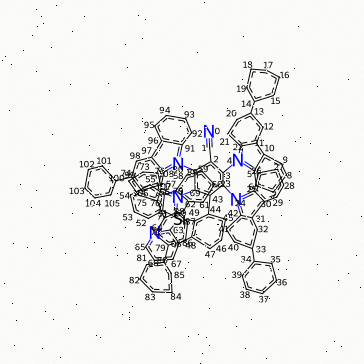 N#Cc1c(-n2c3ccccc3c3cc(-c4ccccc4)ccc32)c(-n2c3ccccc3c3cc(-c4ccccc4)ccc32)c(-c2cccc3c2[Si]2(c4ccccc4-c4ccccc42)c2ncccc2-3)c(-n2c3ccccc3c3cc(-c4ccccc4)ccc32)c1-n1c2ccccc2c2cc(-c3ccccc3)ccc21